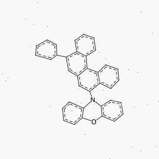 c1ccc(-c2cc3cc(N4c5ccccc5Oc5ccccc54)c4ccccc4c3c3ccccc23)cc1